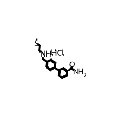 CSCCNCc1ccc(-c2cccc(C(N)=O)c2)cc1.Cl